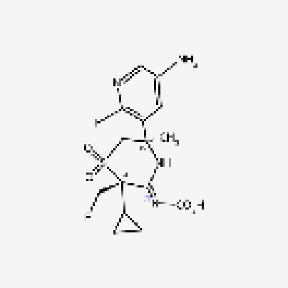 C[C@@]1(c2cc(N)cnc2F)CS(=O)(=O)[C@@](CF)(C2CC2)/C(=N/C(=O)O)N1